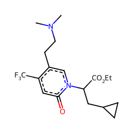 CCOC(=O)C(CC1CC1)n1cc(CCN(C)C)c(C(F)(F)F)cc1=O